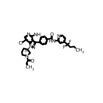 C=CC(=O)N1CCC[C@@H](n2nc(-c3ccc(C(=O)Nc4cc(C(F)(F)CCC)ccn4)cc3)c3c(N)ncc(Cl)c32)C1